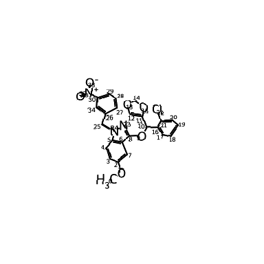 COc1ccc2c(c1)c(OC(C1=COCO1)c1ccccc1Cl)nn2Cc1cccc([N+](=O)[O-])c1